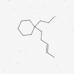 [CH2]CCC1(CCC=CC)CCCCC1